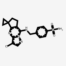 NS(=O)(=O)c1ccc(CNc2c3c(nc4c(Cl)cnn24)C2(CC3)CC2)cc1